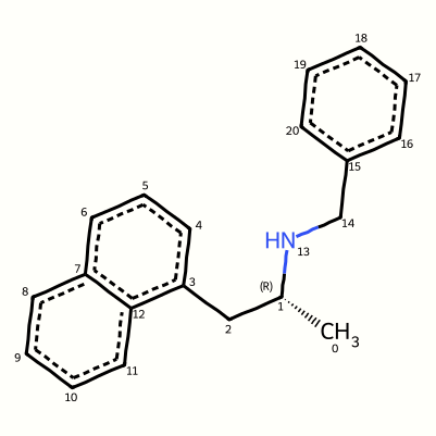 C[C@H](Cc1cccc2ccccc12)NCc1ccccc1